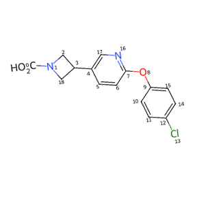 O=C(O)N1CC(c2ccc(Oc3ccc(Cl)cc3)nc2)C1